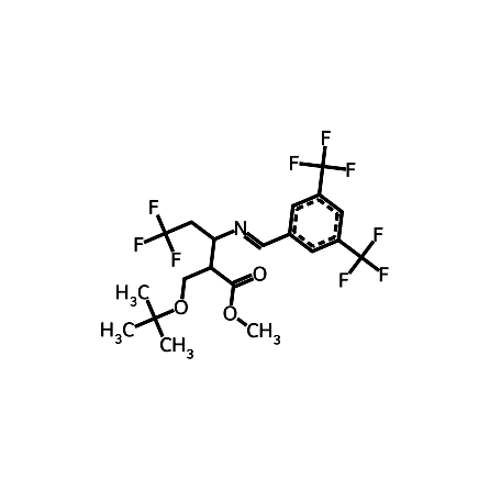 COC(=O)C(COC(C)(C)C)C(CC(F)(F)F)/N=C/c1cc(C(F)(F)F)cc(C(F)(F)F)c1